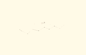 C=C.CCCCCCCCN